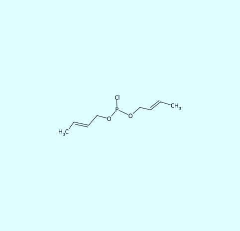 CC=CCOP(Cl)OCC=CC